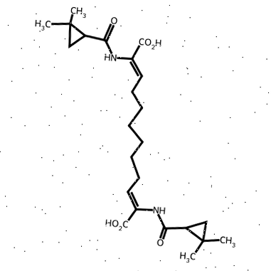 CC1(C)CC1C(=O)N/C(=C\CCCCCC/C=C(\NC(=O)C1CC1(C)C)C(=O)O)C(=O)O